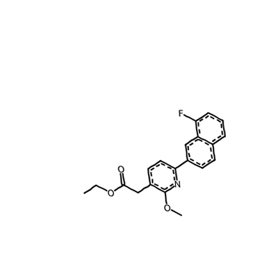 CCOC(=O)Cc1ccc(-c2ccc3cccc(F)c3c2)nc1OC